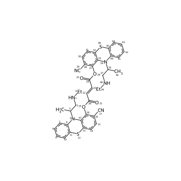 CCNCC(C)N1c2ccccc2Sc2ccc(C#N)c(OC(=O)/C=C/C(=O)Oc3c(C#N)ccc4c3N(C(C)CNCC)c3ccccc3S4)c21